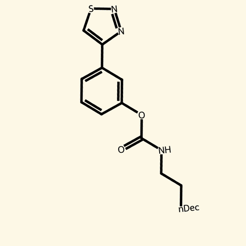 CCCCCCCCCCCCNC(=O)Oc1cccc(-c2csnn2)c1